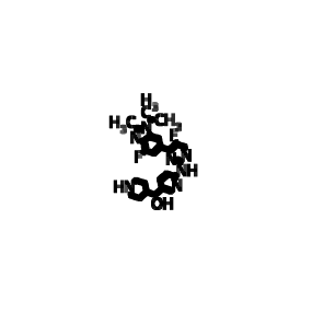 Cc1nc2c(F)cc(-c3nc(Nc4ccc([C@H](O)C5CCNCC5)cn4)ncc3F)cc2n1C(C)C